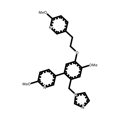 COc1ccc(CCOc2cc(-c3ccc(OC)nc3)c(Cn3ccnc3)cc2OC)cn1